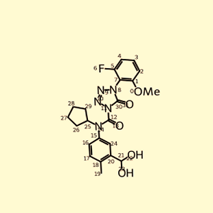 COc1cccc(F)c1-n1nnn(C(=O)N(c2ccc(C)c(C(O)O)c2)C2CCCC2)c1=O